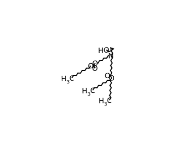 CCCCCCCCCOC(=O)OCCCCCCN(CCCCCCCC(=O)OC(CCCCCCCC)CCCCCCCC)CC1(CO)CC1